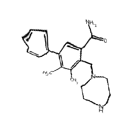 Cc1c(-c2ccccc2)cc(C(N)=O)c(CN2CCNCC2)c1C